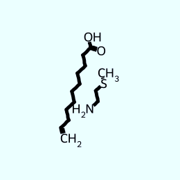 C=CCCCCCCCCC(=O)O.CSCCN